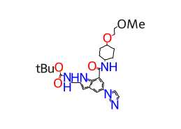 COCCO[C@H]1CC[C@H](NC(=O)c2cc(-n3ccnc3)cc3cc(CNC(=O)OC(C)(C)C)[nH]c23)CC1